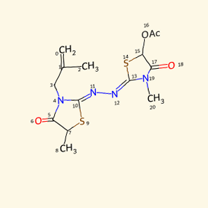 C=C(C)CN1C(=O)C(C)SC1=NN=C1SC(OC(C)=O)C(=O)N1C